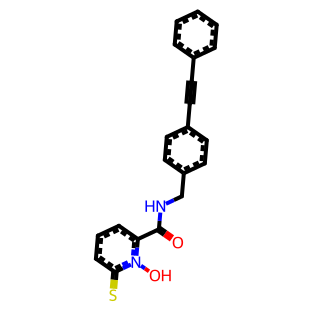 O=C(NCc1ccc(C#Cc2ccccc2)cc1)c1cccc(=S)n1O